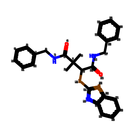 CC(C)(C(=O)NCc1ccccc1)C(Sc1nc2ccccc2s1)C(=O)NCc1ccccc1